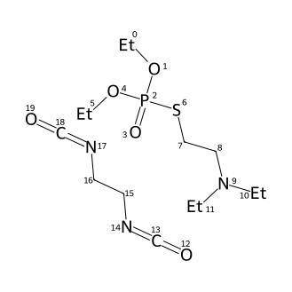 CCOP(=O)(OCC)SCCN(CC)CC.O=C=NCCN=C=O